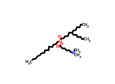 CCCCCCCCCCCCC(COC(=O)CCCCC(CCCCCC)CCCCCC)OC(=O)CCCCCN(C)C